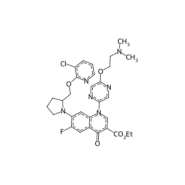 CCOC(=O)c1cn(-c2cnc(OCCN(C)C)cn2)c2cc(N3CCCC3COc3ncccc3Cl)c(F)cc2c1=O